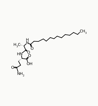 CCCCCCCCCCCCCC(=O)N[C@@H](C)C(=O)N[C@@H](CCC(N)=O)C(=O)O